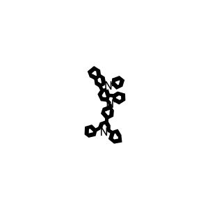 c1ccc(-c2cc(-c3ccc(-n4c5ccccc5c5c4ccc4c6cc7ccccc7cc6n(-c6ccccc6)c45)cc3)cc(-c3ccccc3)n2)cc1